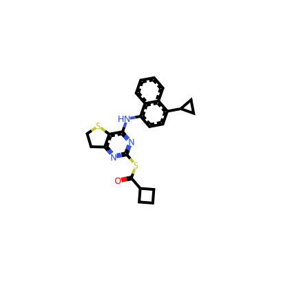 O=C(Sc1nc2c(c(Nc3ccc(C4CC4)c4ccccc34)n1)SCC2)C1CCC1